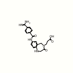 N=C(N)c1ccc(C(=O)Nc2ccc3c(c2)CN(CCC(=O)O)C(=O)CN3)cc1